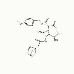 C=C(C)C(C(=O)OCc1ccc(OC)cc1)N1C(=O)C(NC(C)=O)C1S(=O)O.c1cc2cc(c1)O2